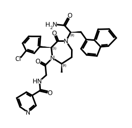 C[C@@H]1CCN([C@H](Cc2cccc3ccccc23)C(N)=O)C(=O)[C@H](c2cccc(Cl)c2)N1C(=O)CNC(=O)c1cccnc1